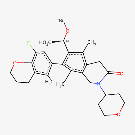 Cc1c(-c2c(C)c3c(c(C)c2[C@H](OC(C)(C)C)C(=O)O)CC(=O)N(C2CCOCC2)C3)cc(F)c2c1CCCO2